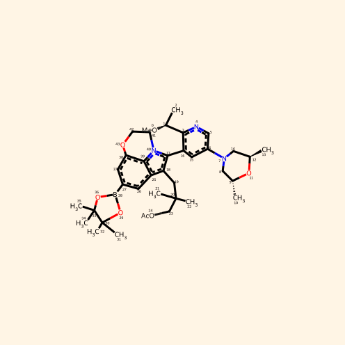 CO[C@@H](C)c1ncc(N2C[C@@H](C)O[C@H](C)C2)cc1-c1c(CC(C)(C)COC(C)=O)c2cc(B3OC(C)(C)C(C)(C)O3)cc3c2n1CCO3